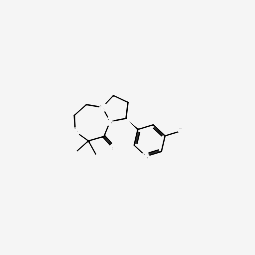 CC1(C)OCCN2CC[C@@H](c3cncc(F)c3)N2C1=O